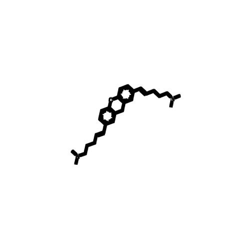 CN(C)CCCC=Cc1ccc2c(c1)Cc1cc(C=CCCCN(C)C)ccc1O2